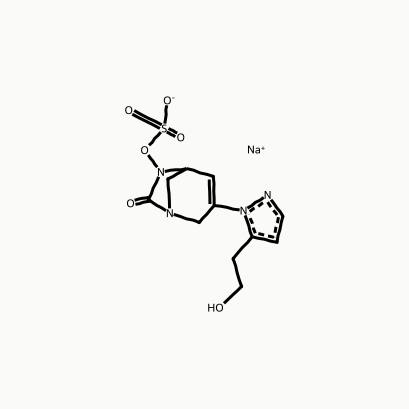 O=C1N2CC(n3nccc3CCO)=CC(C2)N1OS(=O)(=O)[O-].[Na+]